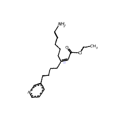 CCOC(=O)/C=C(\CCCCCN)CCCCc1cccnc1